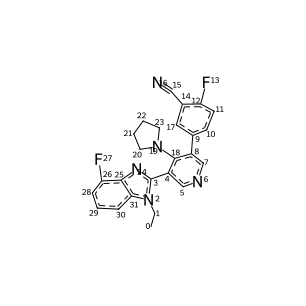 CCn1c(-c2cncc(-c3ccc(F)c(C#N)c3)c2N2CCCC2)nc2c(F)cccc21